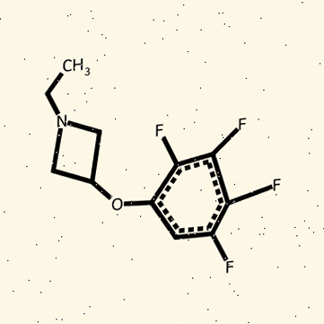 CCN1CC(Oc2cc(F)c(F)c(F)c2F)C1